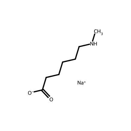 CNCCCCCC(=O)[O-].[Na+]